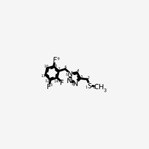 CSCc1cn(Cc2c(F)ccc(F)c2F)nn1